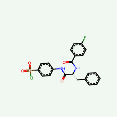 O=C(N[C@H](Cc1ccccc1)C(=O)Nc1ccc(S(=O)(=O)Cl)cc1)c1ccc(F)cc1